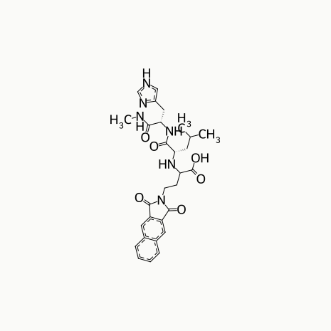 CNC(=O)[C@H](Cc1c[nH]cn1)NC(=O)[C@H](CC(C)C)NC(CCN1C(=O)c2cc3ccccc3cc2C1=O)C(=O)O